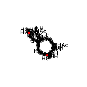 C=C(N)Nc1ccc(NC(=C)NCC(=O)NC2(COCCC(=O)NCC(C)(C)OC(C)(C)C(OC(CO)[C@H](C)O)[C@@H](CO)NC(C)=O)COCCC(=O)NC(C)(C)CCOC(C)(C)C3OC(CO)C(O)C(O)C3O[C@@H](C)C(CO)OC([C@@H](CO)NC(C)=O)C(C)(C)OCCC(C)(C)NC(=O)CCOC2)cc1